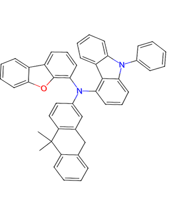 CC1(C)c2ccccc2Cc2cc(N(c3cccc4c3oc3ccccc34)c3cccc4c3c3ccccc3n4-c3ccccc3)ccc21